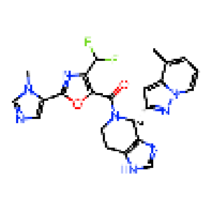 Cc1cccn2nc([C@@H]3c4nc[nH]c4CCN3C(=O)c3oc(-c4cncn4C)nc3C(F)F)cc12